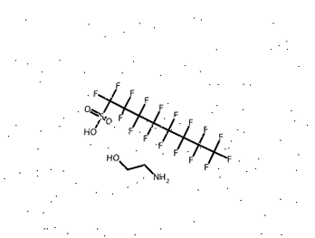 NCCO.O=S(=O)(O)C(F)(F)C(F)(F)C(F)(F)C(F)(F)C(F)(F)C(F)(F)C(F)(F)C(F)(F)F